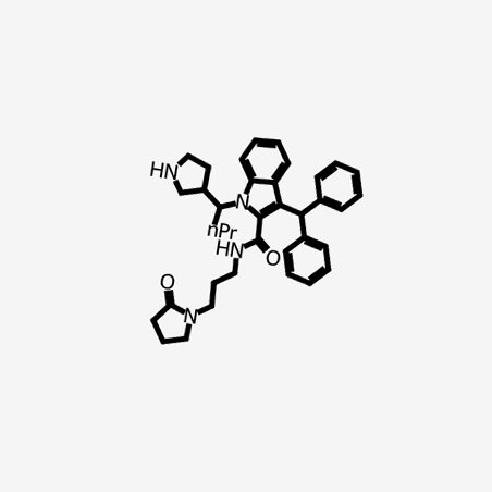 CCCC(C1CCNC1)n1c(C(=O)NCCCN2CCCC2=O)c(C(c2ccccc2)c2ccccc2)c2ccccc21